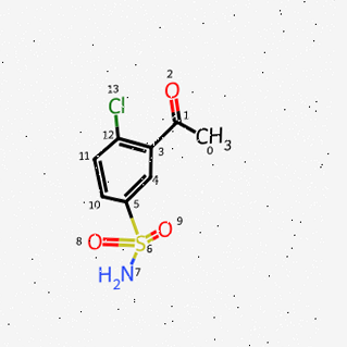 CC(=O)c1cc(S(N)(=O)=O)ccc1Cl